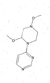 COC1CN(OC)CCN1c1ccncn1